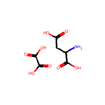 NC(CC(=O)O)C(=O)O.O=C(O)C(=O)O